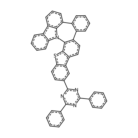 c1ccc(-c2nc(-c3ccccc3)nc(-c3ccc4sc5c6c(ccc5c4c3)-c3ccccc3-c3cccc4c5ccccc5n-6c34)n2)cc1